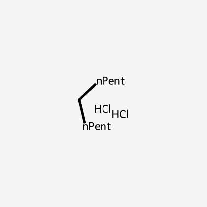 CCCCCCCCCCC.Cl.Cl